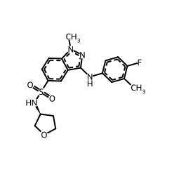 Cc1cc(Nc2nn(C)c3ccc(S(=O)(=O)N[C@H]4CCOC4)cc23)ccc1F